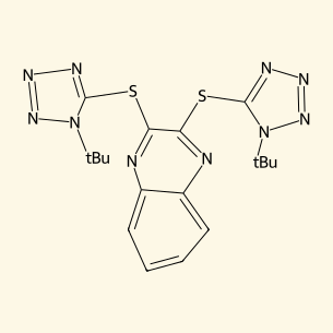 CC(C)(C)n1nnnc1Sc1nc2ccccc2nc1Sc1nnnn1C(C)(C)C